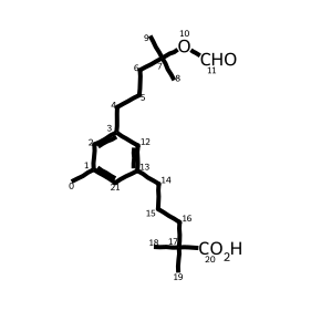 Cc1cc(CCCC(C)(C)OC=O)cc(CCCC(C)(C)C(=O)O)c1